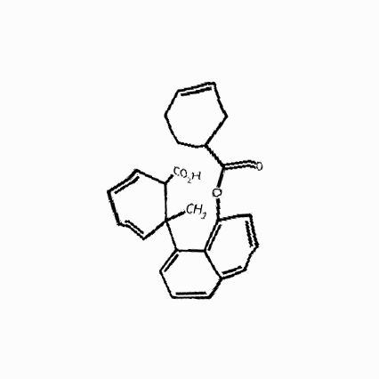 CC1(c2cccc3cccc(OC(=O)C4CC=CCC4)c23)C=CC=CC1C(=O)O